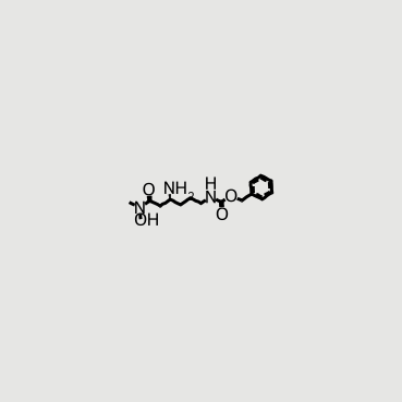 CN(O)C(=O)C[C@@H](N)CCCNC(=O)OCc1ccccc1